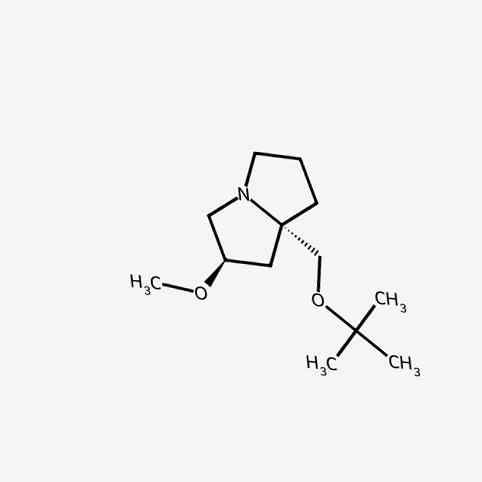 CO[C@H]1CN2CCC[C@@]2(COC(C)(C)C)C1